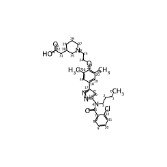 CCCCN(C(=O)c1ccccc1Cl)c1nnc(-c2cc(C)c(OCCN3CCCC(CC(=O)O)C3)c(C)c2)s1